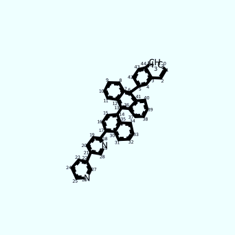 C/C=C\c1cc(-c2c3ccccc3c(-c3ccc(-c4ccc(-c5cccnc5)cn4)c4ccccc34)c3ccccc23)ccc1C